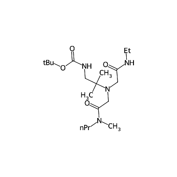 CCCN(C)C(=O)CN(CC(=O)NCC)C(C)(C)CNC(=O)OC(C)(C)C